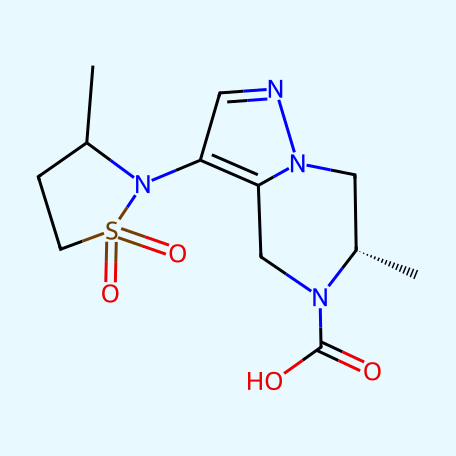 CC1CCS(=O)(=O)N1c1cnn2c1CN(C(=O)O)[C@@H](C)C2